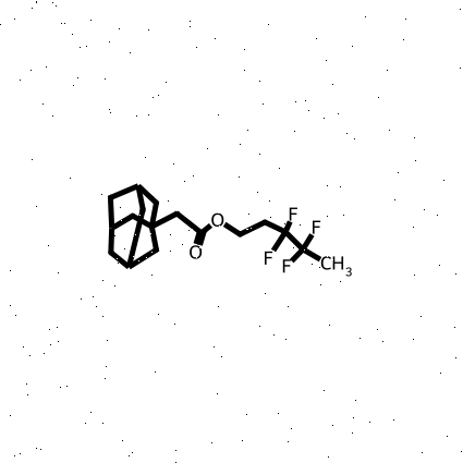 CC(F)(F)C(F)(F)CCOC(=O)CC12CC3CC(CC(C3)C1)C2